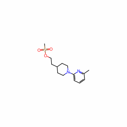 Cc1cccc(N2CCC(CCOS(C)(=O)=O)CC2)n1